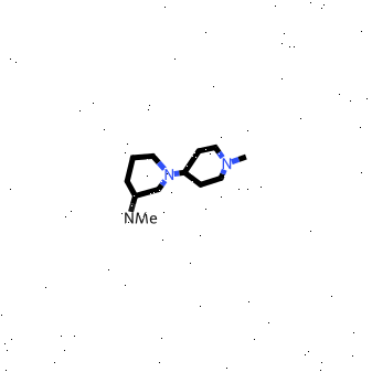 CNC1CCCN(C2CCN(C)CC2)C1